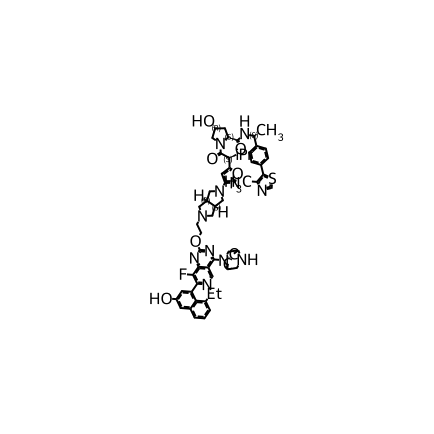 CCc1cccc2cc(O)cc(-c3ncc4c(N5CC6CCCC5CN6)nc(OCCN5C[C@@H]6CN(c7cc([C@@H](C(=O)N8C[C@H](O)C[C@H]8C(=O)N[C@@H](C)c8ccc(-c9scnc9C)cc8)C(C)C)on7)C[C@@H]6C5)nc4c3F)c12